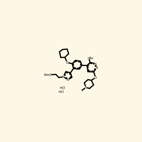 CCCCc1nnc(OC2CCN(C)CC2)cc1-c1ccc(OC2CCCCC2)c(-c2cnn(CCOC)c2)c1.Cl.Cl